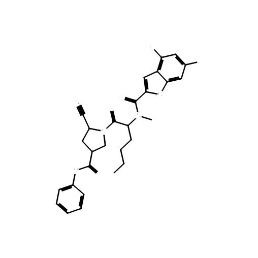 CCCCC(C(=O)N1CC(C(=O)Nc2ccccc2)CC1C#N)N(C)C(=O)c1cc2c(F)cc(F)cc2[nH]1